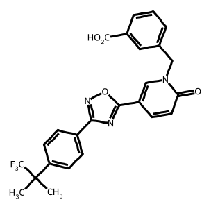 CC(C)(c1ccc(-c2noc(-c3ccc(=O)n(Cc4cccc(C(=O)O)c4)c3)n2)cc1)C(F)(F)F